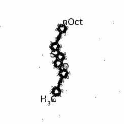 CCCCCCCCc1ccc(C#Cc2ccc3sc4c(ccc5c4ccc4c6cc(C#Cc7ccc(C)cc7)ccc6oc45)c3c2)cc1